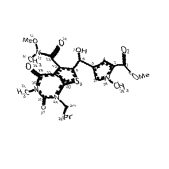 COC(=O)c1cc(C(O)c2sc3c(c2C(=O)N(C)OC)c(=O)n(C)c(=O)n3CC(C)C)cn1C